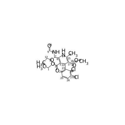 CCOC(=O)C1=C(C(NC=O)OCC)NC(C)=C(C(=O)OC)C1c1cccc(Cl)c1Cl